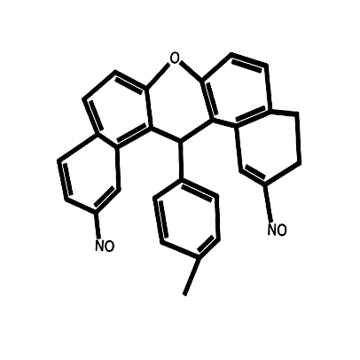 Cc1ccc(C2c3c(ccc4c3C=C(N=O)CC4)Oc3ccc4ccc(N=O)cc4c32)cc1